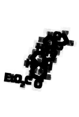 CCOC(=O)C1C[C@@H]2CC[C@@H]3[C@H](CC[C@@]4(C)[C@H]3CCC43OCCO3)[C@@]2(C)CCC1=O